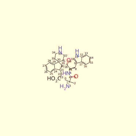 CC(C)(N)C(=O)N[C@H](Cc1c[nH]c2ccccc12)C(=O)[C@@H]1C(CC(=O)O)c2ccccc2C12CCNCC2